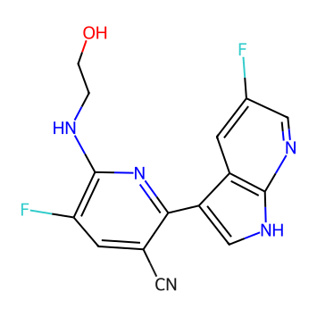 N#Cc1cc(F)c(NCCO)nc1-c1c[nH]c2ncc(F)cc12